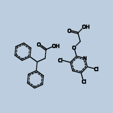 O=C(O)CC(c1ccccc1)c1ccccc1.O=C(O)COc1nc(Cl)c(Cl)cc1Cl